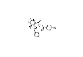 Cc1nc(C(=O)OCC(=O)c2ccc(Br)cc2)c(OCc2ccccc2)c(=O)[nH]1